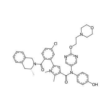 Cc1c(C(=O)N(c2ccc(O)cc2)c2cnc(OCCN3CCOCC3)nc2)cc(-c2cc(Cl)ccc2C(=O)N2Cc3ccccc3C[C@H]2C)n1C